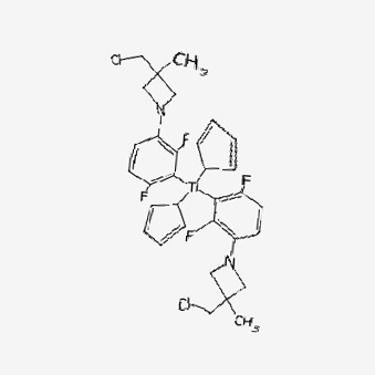 CC1(CCl)CN(c2ccc(F)[c]([Ti]([c]3c(F)ccc(N4CC(C)(CCl)C4)c3F)([CH]3C=CC=C3)[CH]3C=CC=C3)c2F)C1